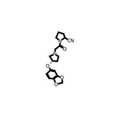 N#CC1CCCN1C(=O)CN1CC[C@H](Oc2ccc3c(c2)OCO3)C1